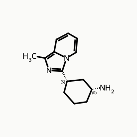 Cc1nc([C@H]2CCC[C@@H](N)C2)n2ccccc12